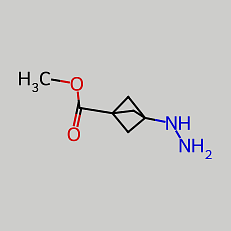 COC(=O)C12CC(NN)(C1)C2